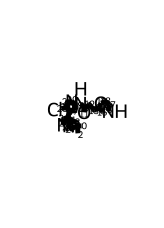 CC1(C)Cc2c(-c3cc(NC(=O)CCC4CNCCO4)ncc3Cl)cnn2C1